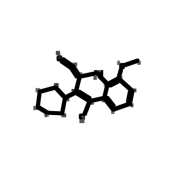 COc1cccc2c1NC(=C=O)C(C1CCCCC1)=C2Cl